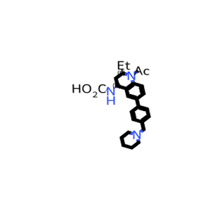 CC[C@H]1C[C@@H](NC(=O)O)c2cc(-c3ccc(CN4CCCCC4)cc3)ccc2N1C(C)=O